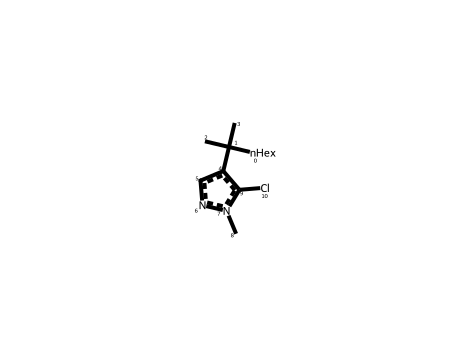 CCCCCCC(C)(C)c1cnn(C)c1Cl